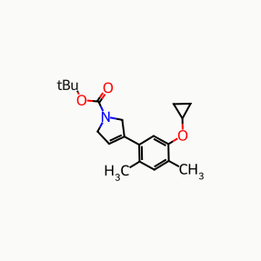 Cc1cc(C)c(C2=CCN(C(=O)OC(C)(C)C)C2)cc1OC1CC1